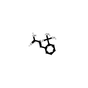 CC(C)(C)c1ccccc1/C=C/C(=O)O